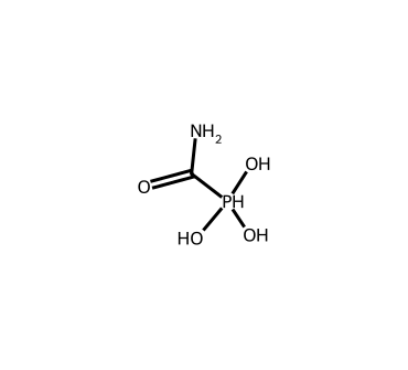 NC(=O)[PH](O)(O)O